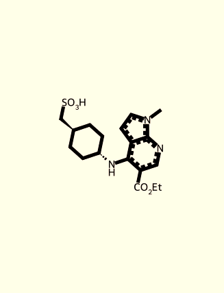 CCOC(=O)c1cnc2c(ccn2C)c1N[C@H]1CC[C@H](CS(=O)(=O)O)CC1